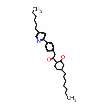 CCCCCCCC1CCC(C(=O)Cc2ccc(-c3ccc(CCCCCC)cn3)cc2)C(=O)C1